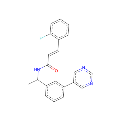 CC(NC(=O)C=Cc1ccccc1F)c1cccc(-c2cncnc2)c1